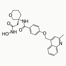 Cc1cc(COc2ccc(C(=O)N[C@@]3(CC(=O)NO)CCCOC3)cc2)c2ccccc2n1